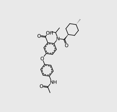 CC(=O)Nc1ccc(Oc2ccc(N(C(=O)[C@H]3CC[C@H](C)CC3)C(C)C)c(C(=O)O)c2)cc1